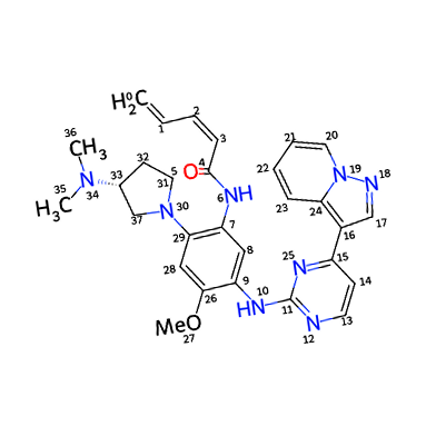 C=C/C=C\C(=O)Nc1cc(Nc2nccc(-c3cnn4ccccc34)n2)c(OC)cc1N1CC[C@@H](N(C)C)C1